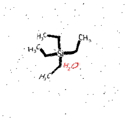 CC[Si](CC)(CC)CC.O